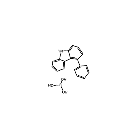 OB(O)O.c1ccc(-c2cccc3[nH]c4ccccc4c23)cc1